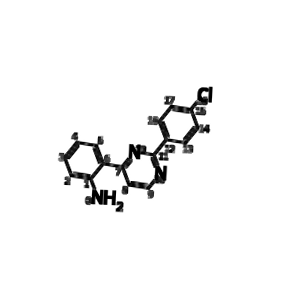 Nc1ccccc1-c1ccnc(-c2ccc(Cl)cc2)n1